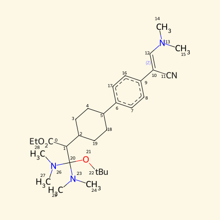 CCOC(=O)C(C1CCC(c2ccc(/C(C#N)=C/N(C)C)cc2)CC1)C(OC(C)(C)C)(N(C)C)N(C)C